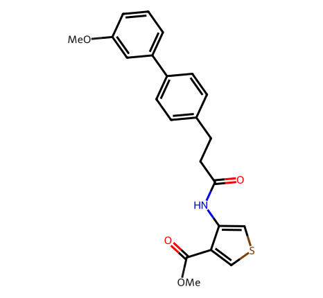 COC(=O)c1cscc1NC(=O)CCc1ccc(-c2cccc(OC)c2)cc1